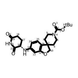 CC(C)(C)OC(=O)N1CCC2(CC1)COc1cc(N[C@H]3CCC(=O)NC3=O)ccc12